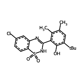 Cc1cc(C(C)(C)C)c(O)c(C2=Nc3cc(Cl)ccc3S(=O)(=O)N2)c1C